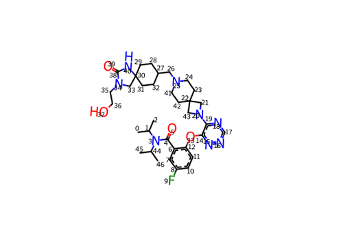 CC(C)N(C(=O)c1cc(F)ccc1Oc1nncnc1N1CC2(CCN(CC3CCC4(CC3)CN(CCO)C(=O)N4)CC2)C1)C(C)C